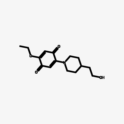 CCOC1=CC(=O)C(N2CCC(CCO)CC2)=CC1=O